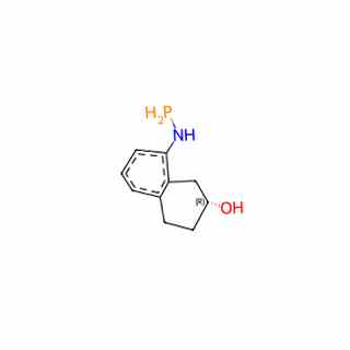 O[C@@H]1CCc2cccc(NP)c2C1